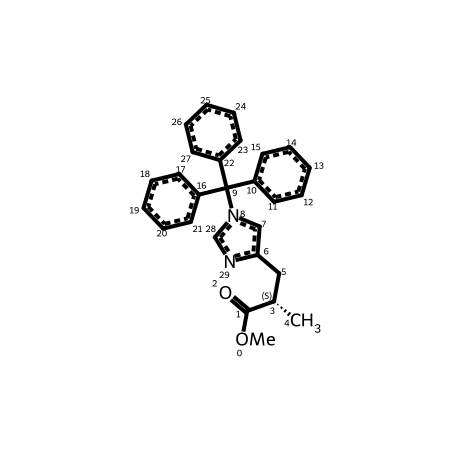 COC(=O)[C@@H](C)Cc1cn(C(c2ccccc2)(c2ccccc2)c2ccccc2)cn1